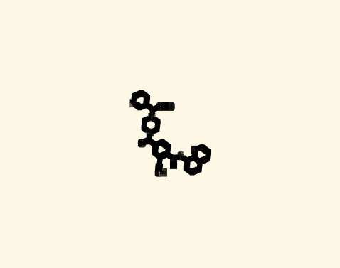 C#Cc1cc(C(=O)N2CCN(C(C=O)c3cccnc3)CC2)ccc1NSc1cccc2cccnc12